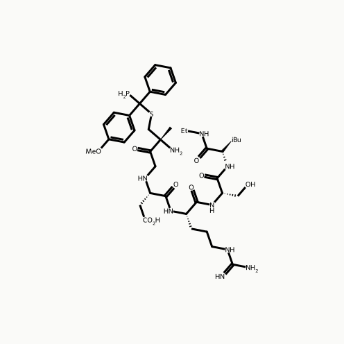 CCNC(=O)[C@@H](NC(=O)[C@H](CO)NC(=O)[C@H](CCCNC(=N)N)NC(=O)[C@H](CC(=O)O)NCC(=O)[C@@](C)(N)CSC(P)(c1ccccc1)c1ccc(OC)cc1)[C@H](C)CC